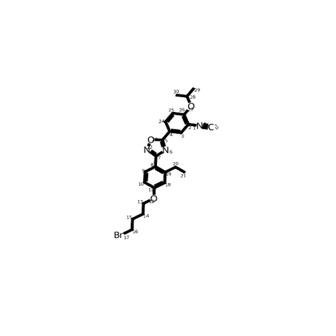 [C-]#[N+]c1cc(-c2nc(-c3ccc(OCCCCBr)cc3CC)no2)ccc1OC(C)C